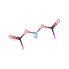 O=C(I)ONOC(=O)I